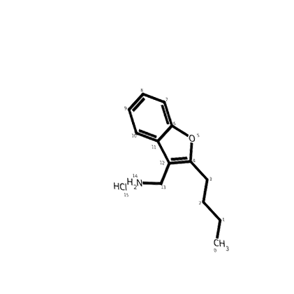 CCCCc1oc2ccccc2c1CN.Cl